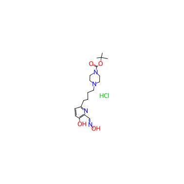 CC(C)(C)OC(=O)N1CCN(CCCCc2ccc(O)c(/C=N/O)n2)CC1.Cl